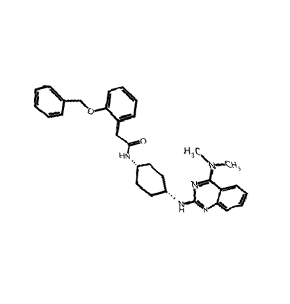 CN(C)c1nc(N[C@H]2CC[C@@H](NC(=O)Cc3ccccc3OCc3ccccc3)CC2)nc2ccccc12